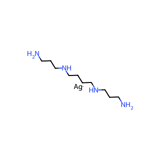 NCCCNCCCCNCCCN.[Ag]